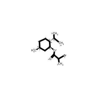 CC(Br)C(=O)O[C@H]1C[C@@H](C)CC[C@@H]1C(C)C